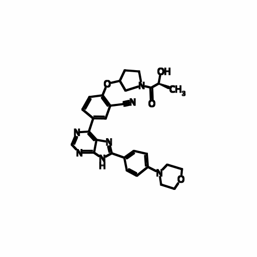 C[C@H](O)C(=O)N1CCC(Oc2ccc(-c3ncnc4[nH]c(-c5ccc(N6CCOCC6)cc5)nc34)cc2C#N)C1